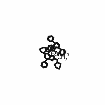 C[SiH](C)[Zr]([CH]1C(CC2CCCCC2)=Cc2c(-c3ccccc3)ccc(-c3ccccc3)c21)[CH]1C(CC2CCCCC2)=Cc2c(-c3ccccc3)ccc(-c3ccccc3)c21